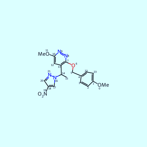 COc1ccc(COc2nnc(OC)cc2C(C)n2cc([N+](=O)[O-])cn2)cc1